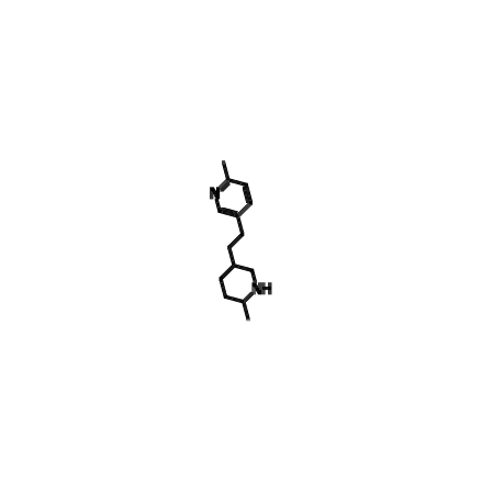 Cc1ccc(CCC2CCC(C)NC2)cn1